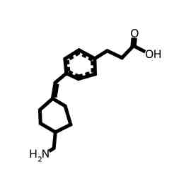 NCC1CCC(=Cc2ccc(CCC(=O)O)cc2)CC1